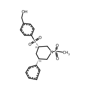 CS(=O)(=O)N1C[C@H](c2ccccc2)C[C@H](S(=O)(=O)c2ccc(CO)cc2)C1